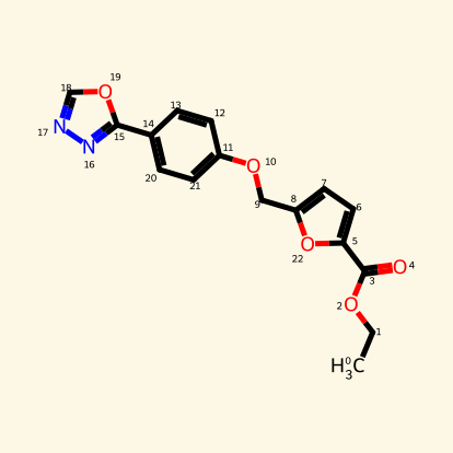 CCOC(=O)c1ccc(COc2ccc(-c3nnco3)cc2)o1